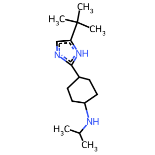 CC(C)NC1CCC(c2ncc(C(C)(C)C)[nH]2)CC1